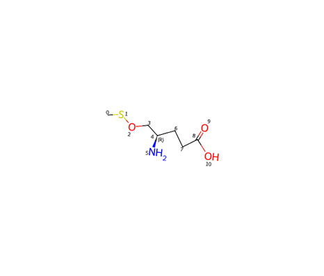 CSOC[C@H](N)CCC(=O)O